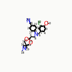 COc1ccc(CN(CCC2OCC3(CO2)CN(C)C3)c2ccc(C#N)cc2)cc1F